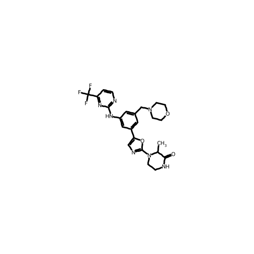 CC1C(=O)NCCN1c1ncc(-c2cc(CN3CCOCC3)cc(Nc3nccc(C(F)(F)F)n3)c2)o1